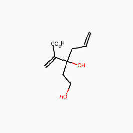 C=CCC(O)(CCO)C(=C)C(=O)O